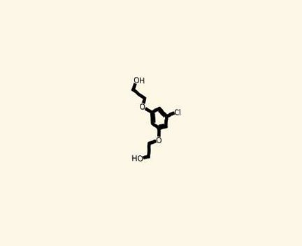 OCCOc1cc(Cl)cc(OCCO)c1